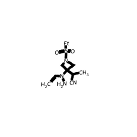 C=CN(N)C1(C(C)C#N)CN(S(=O)(=O)CC)C1